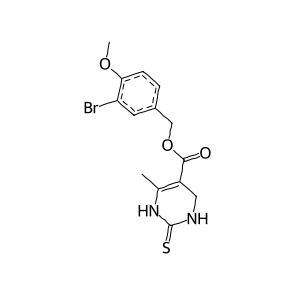 COc1ccc(COC(=O)C2=C(C)NC(=S)NC2)cc1Br